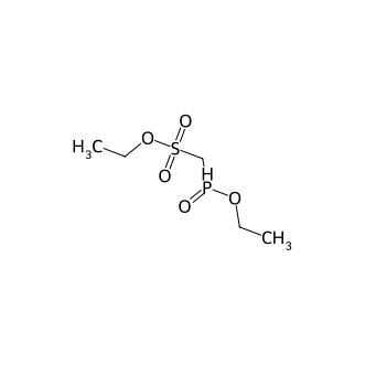 CCO[PH](=O)CS(=O)(=O)OCC